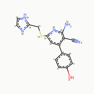 N#Cc1c(-c2ccc(O)cc2)cc(SCc2ncc[nH]2)nc1N